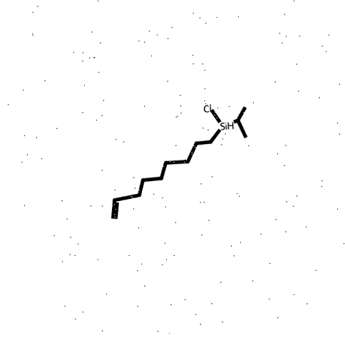 C=CCCCCCCC[SiH](Cl)C(C)C